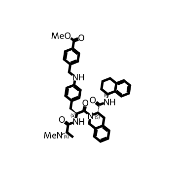 CN[C@@H](C)C(=O)N[C@@H](Cc1ccc(NCc2ccc(C(=O)OC)cc2)cc1)C(=O)N1Cc2ccccc2C[C@H]1C(=O)N[C@@H]1CCCc2ccccc21